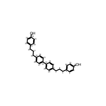 Oc1ccc(CCCc2ccc(-c3ccc(CCCc4ccc(O)cc4)cc3)cc2)cc1